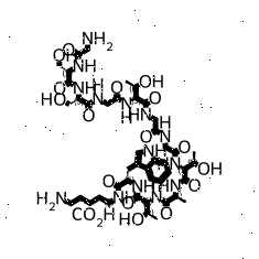 C[C@H](NC(=O)[C@@H](NC(=O)CNC(=O)CNC(=O)[C@@H](NC(=O)CNC(=O)[C@H](CO)NC(=O)[C@H](CO)NC(=O)CN)[C@@H](C)O)[C@@H](C)O)C(=O)N[C@H](C(=O)N[C@@H](Cc1c[nH]c2ccccc12)C(=O)N[C@@H](CCCCN)C(=O)O)[C@@H](C)O